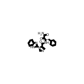 NC(=O)C(=O)[C@H](Cc1ccccc1)NC(=O)c1cncn1-c1nc2ccccc2[nH]1